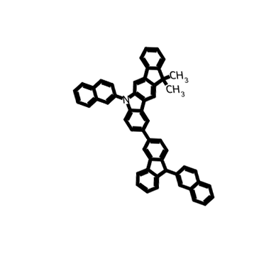 CC1(C)c2ccccc2-c2cc3c(cc21)c1cc(-c2ccc4c(c2)-c2ccccc2C4c2ccc4ccccc4c2)ccc1n3-c1ccc2ccccc2c1